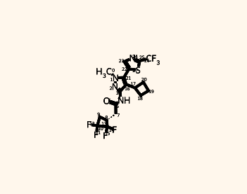 Cn1nc(NC(=O)C[C@H]2CC(F)(F)C2(F)F)c(C2CCC2)c1-c1cnc(C(F)(F)F)s1